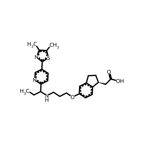 CCC(NCCCOc1ccc2c(c1)CC[C@H]2CC(=O)O)c1ccc(-c2nc(C)c(C)s2)cn1